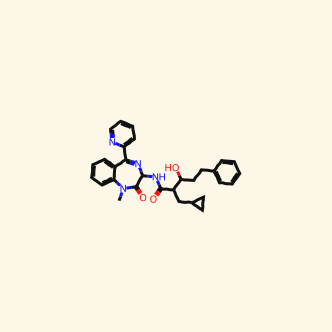 CN1C(=O)C(NC(=O)C(CC2CC2)C(O)CCc2ccccc2)N=C(c2ccccn2)c2ccccc21